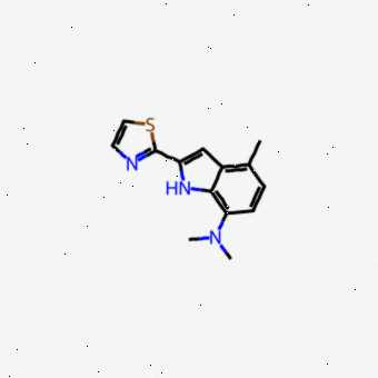 Cc1ccc(N(C)C)c2[nH]c(-c3nccs3)cc12